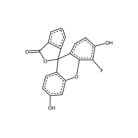 O=C1OC2(c3ccc(O)cc3Oc3c2ccc(O)c3F)c2ccccc21